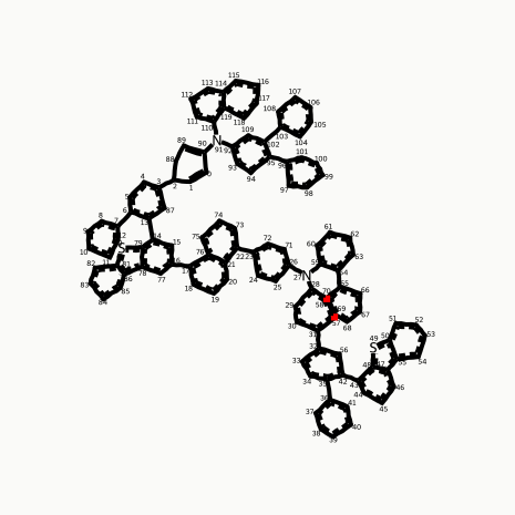 C1=CC(c2ccc(-c3ccccc3)c(-c3cc(-c4cccc5c(-c6ccc(N(c7ccc(-c8ccc(-c9ccccc9)c(-c9cccc%10c9sc9ccccc9%10)c8)cc7)c7ccccc7-c7ccccc7)cc6)cccc45)cc4c3sc3ccccc34)c2)CC=C1N(c1ccc(-c2ccccc2)c(-c2ccccc2)c1)c1cccc2ccccc12